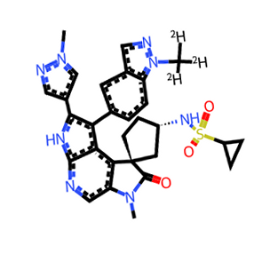 [2H]C([2H])([2H])n1ncc2cc(-c3c(-c4cnn(C)c4)[nH]c4ncc5c(c34)[C@@]3(CC[C@H](NS(=O)(=O)C4CC4)C3)C(=O)N5C)ccc21